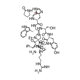 CCN1CCC[C@]1(C(=O)NC(=O)[C@@H](N)CCCNC(=N)N)C(=O)[C@H](CC(C)C)NC(=O)[C@@H](CC(C)C)NC(=O)[C@H](Cc1ccc(O)cc1)NC(=O)[C@H](CO)NC(=O)[C@H](Cc1c[nH]c2ccccc12)NC(=O)[C@H](Cc1c[nH]cn1)NC(=O)[C@@H]1CCC(=O)N1